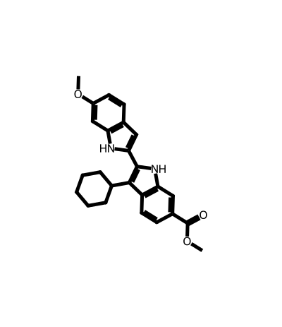 COC(=O)c1ccc2c(C3CCCCC3)c(-c3cc4ccc(OC)cc4[nH]3)[nH]c2c1